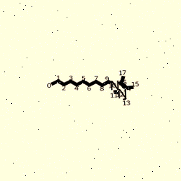 CCCCCCCCCCN1CN(C)C(C)=C1C